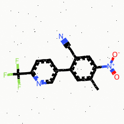 Cc1cc(-c2ccc(C(F)(F)F)nc2)c(C#N)cc1[N+](=O)[O-]